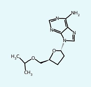 CC(C)OC[C@@H]1CC[C@@H](n2cnc3c(N)ncnc32)O1